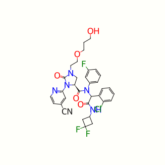 N#Cc1ccnc(N2C(=O)N(CCOCCCO)C[C@H]2C(=O)N(c2cccc(F)c2)C(C(=O)NC2CC(F)(F)C2)c2ccccc2Cl)c1